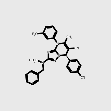 CC1=C(C#N)[C@@H](c2ccc(C#N)cc2)n2nc(N(Cc3ccccc3)C(=O)O)nc2N1c1cccc(C(F)(F)F)c1